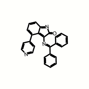 O=C1N=c2cccc(-c3ccncc3)c2=C1N=C(c1ccccc1)c1ccccc1